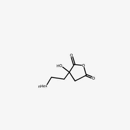 CCCCCCCCC1(O)CC(=O)OC1=O